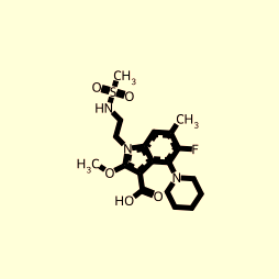 COc1c(C(=O)O)c2c(N3CCCCC3)c(F)c(C)cc2n1CCNS(C)(=O)=O